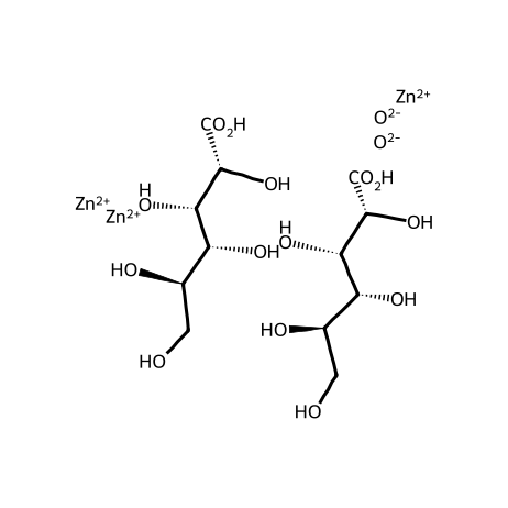 O=C(O)[C@H](O)[C@@H](O)[C@H](O)[C@H](O)CO.O=C(O)[C@H](O)[C@@H](O)[C@H](O)[C@H](O)CO.[O-2].[O-2].[Zn+2].[Zn+2].[Zn+2]